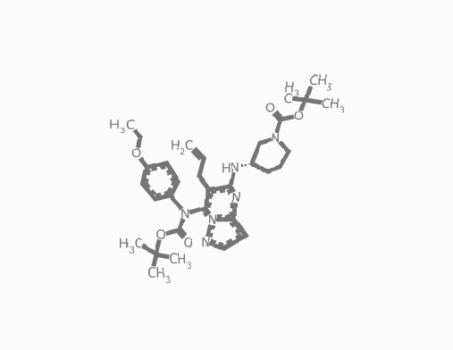 C=CCc1c(N[C@H]2CCCN(C(=O)OC(C)(C)C)C2)nc2ccnn2c1N(C(=O)OC(C)(C)C)c1ccc(OCC)cc1